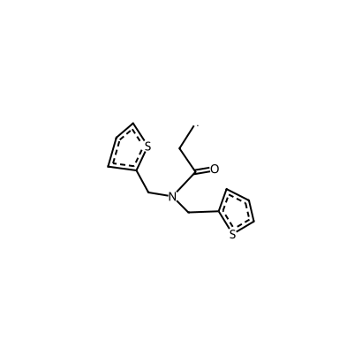 [CH2]CC(=O)N(Cc1cccs1)Cc1cccs1